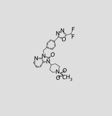 CS(=O)(=O)N1CCC(n2c(=O)n(Cc3ccc(-c4nnc(C(F)F)o4)cc3)c3ncccc32)CC1